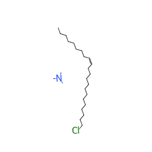 CCCCCCCC/C=C\CCCCCCCCCCCCCl.CN(C)C